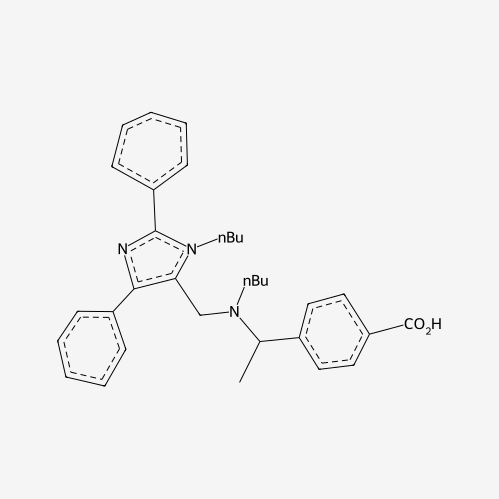 CCCCN(Cc1c(-c2ccccc2)nc(-c2ccccc2)n1CCCC)C(C)c1ccc(C(=O)O)cc1